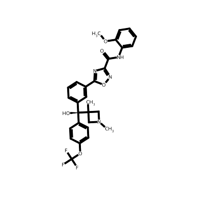 COc1ccccc1NC(=O)c1noc(-c2cccc([C@@](O)(c3ccc(OC(F)(F)F)cc3)C3(C)CN(C)C3)c2)n1